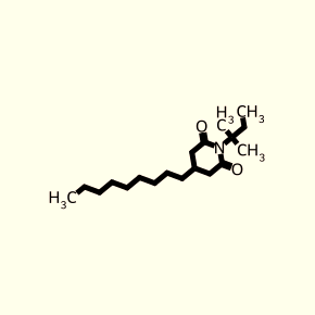 CCCCCCCCCC1CC(=O)N(C(C)(C)CC)C(=O)C1